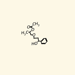 CC(=O)OC(C)COCCC(O)c1ccccc1